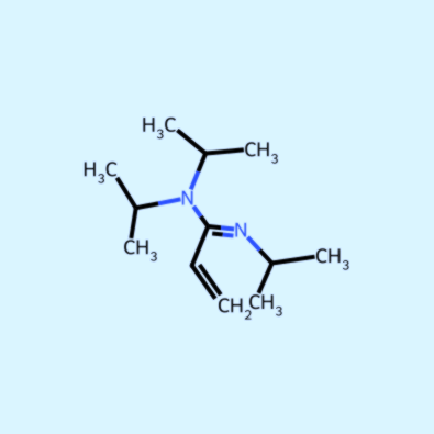 C=CC(=NC(C)C)N(C(C)C)C(C)C